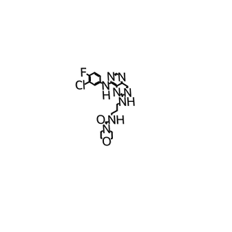 O=C(NCCCNc1ncc2ncnc(Nc3ccc(F)c(Cl)c3)c2n1)N1CCOCC1